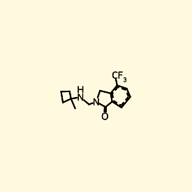 CC1(NCN2Cc3c(cccc3C(F)(F)F)C2=O)CCC1